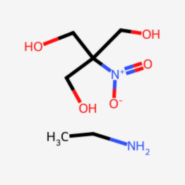 CCN.O=[N+]([O-])C(CO)(CO)CO